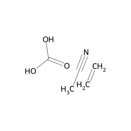 C=C.CC#N.O=C(O)O